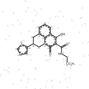 O=C(O)CNC(=O)c1c(O)c2cccc3c2n(c1=O)CC(c1cncs1)C3